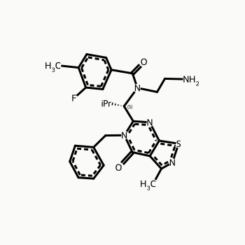 Cc1ccc(C(=O)N(CCN)[C@H](c2nc3snc(C)c3c(=O)n2Cc2ccccc2)C(C)C)cc1F